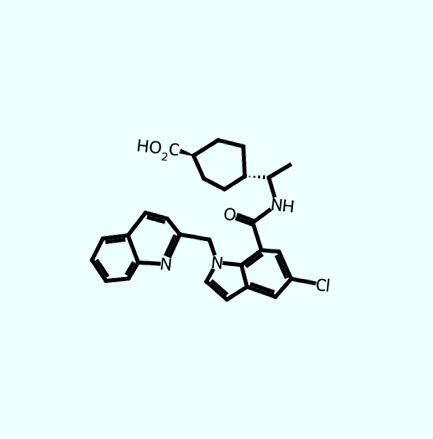 CC(NC(=O)c1cc(Cl)cc2ccn(Cc3ccc4ccccc4n3)c12)[C@H]1CC[C@H](C(=O)O)CC1